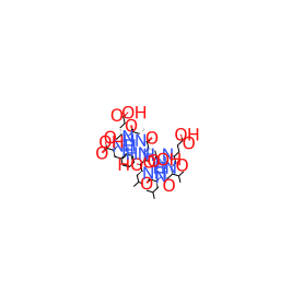 CC(C)C[C@H](NC(=O)[C@@H](NC(=O)[C@@H](N)CCC(=O)O)C(C)C)C(=O)N[C@@H](CC(C)C)[C@@H](O)C(=O)N[C@@H](CC(=O)O)C(=O)N[C@@H](C)C(=O)N[C@@H](CCC(=O)O)C(=O)N[C@@H](Cc1ccccc1)C(=O)O